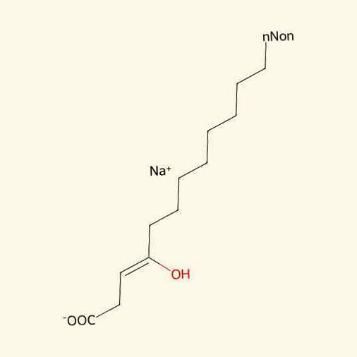 CCCCCCCCCCCCCCCCCC(O)=CCC(=O)[O-].[Na+]